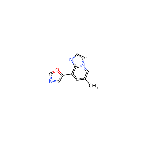 Cc1cc(-c2cnco2)c2nc[c]n2c1